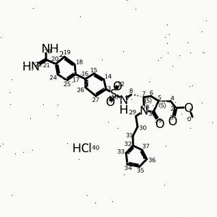 COC(=O)C[C@@H]1C[C@@H](CNS(=O)(=O)c2ccc(-c3ccc(C(=N)N)cc3)cc2)N(CCCc2ccccc2)C1=O.Cl